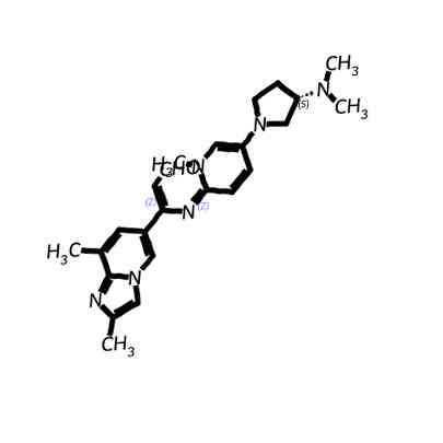 Cc1cn2cc(C(=C/C=O)/N=c3/ccc(N4CC[C@H](N(C)C)C4)cn3C)cc(C)c2n1